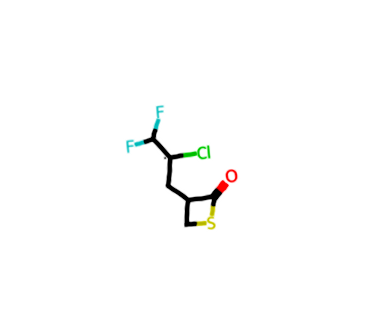 O=C1SCC1C[C](Cl)C(F)F